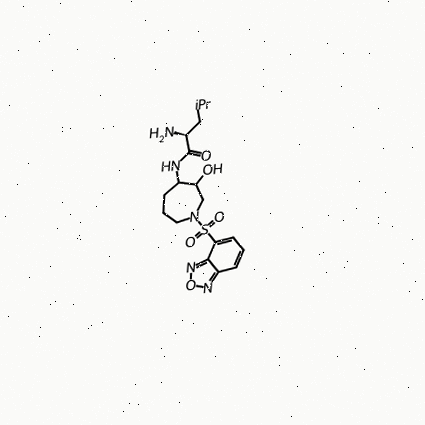 CC(C)C[C@H](N)C(=O)NC1CCCN(S(=O)(=O)c2cccc3nonc23)CC1O